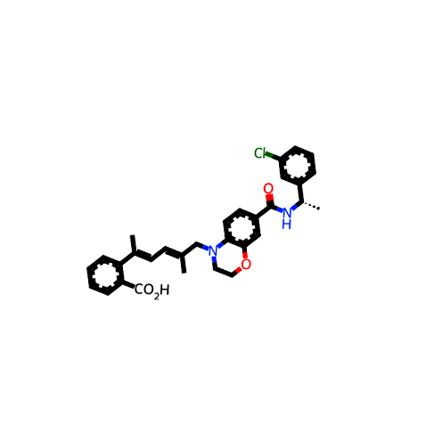 C/C(=C\C=C(/C)c1ccccc1C(=O)O)CN1CCOc2cc(C(=O)N[C@@H](C)c3cccc(Cl)c3)ccc21